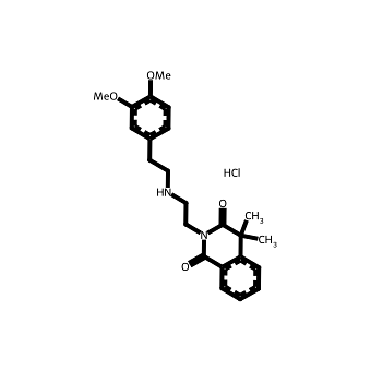 COc1ccc(CCNCCN2C(=O)c3ccccc3C(C)(C)C2=O)cc1OC.Cl